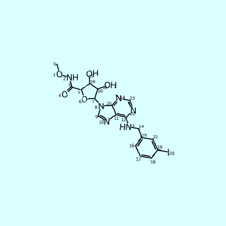 CONC(=O)C1OC(n2cnc3c(NCc4cccc(I)c4)ncnc32)C(O)C1O